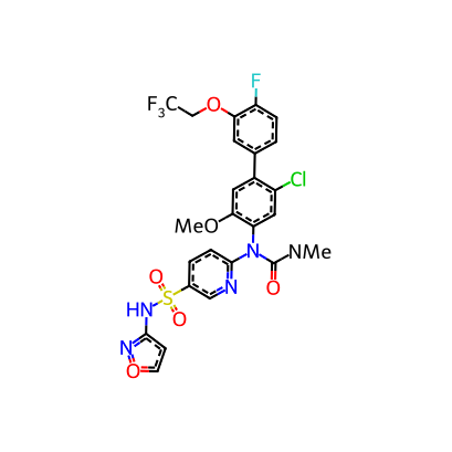 CNC(=O)N(c1ccc(S(=O)(=O)Nc2ccon2)cn1)c1cc(Cl)c(-c2ccc(F)c(OCC(F)(F)F)c2)cc1OC